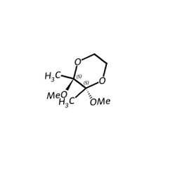 CO[C@@]1(C)OCCO[C@]1(C)OC